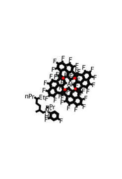 CCCC(CC)CCC(C)C[NH+](CCC)c1ccc(F)cc1F.Fc1c(F)c2c(F)c(F)c3c(F)c(F)[c]([Al-]([c]4c(F)c(F)c5c(F)c(F)c6c(F)c(F)c(F)c7c(F)c(F)c4c5c67)([c]4c(F)c(F)c5c(F)c(F)c6c(F)c(F)c(F)c7c(F)c(F)c4c5c67)[c]4c(F)c(F)c5c(F)c(F)c6c(F)c(F)c(F)c7c(F)c(F)c4c5c67)c4c(F)c(F)c(c1F)c2c34